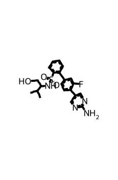 CC(C)C(CO)NS(=O)(=O)c1ccccc1-c1ccc(-c2cnc(N)nc2)c(F)c1